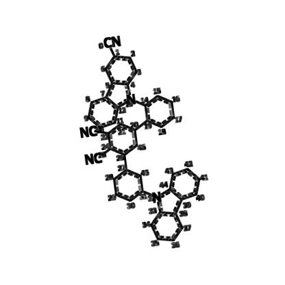 N#Cc1ccc2c(c1)c1ccccc1n2-c1ccccc1-c1cc(C#N)c(C#N)c(-c2cccc(-n3c4ccccc4c4ccccc43)c2)c1